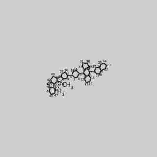 CC1(C)c2cc(-c3ccc(-c4c5ccccc5c(-c5ccc6ccccc6c5)c5ccccc45)cc3)ccc2-c2ccc3sc4ccccc4c3c21